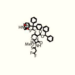 CO[C@@]1(NC(=S)CC(F)F)C(=O)N2C(C(=O)OC(c3ccccc3)c3ccccc3)=C(SC(Sc3c[nH]nn3)C(c3ccccc3)(c3ccccc3)c3ccccc3)CS[C@@H]21